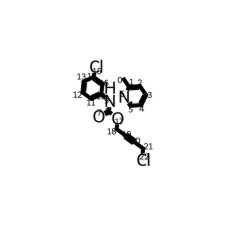 Cc1ccccn1.O=C(Nc1cccc(Cl)c1)OCC#CCCl